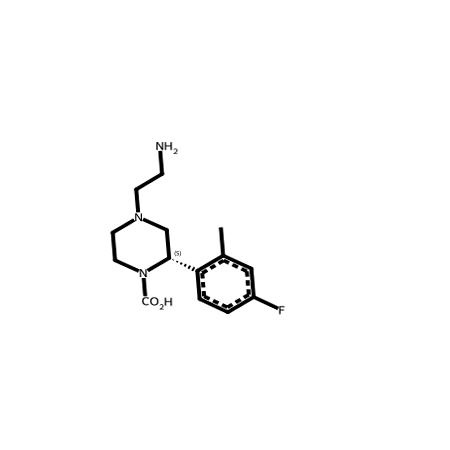 Cc1cc(F)ccc1[C@H]1CN(CCN)CCN1C(=O)O